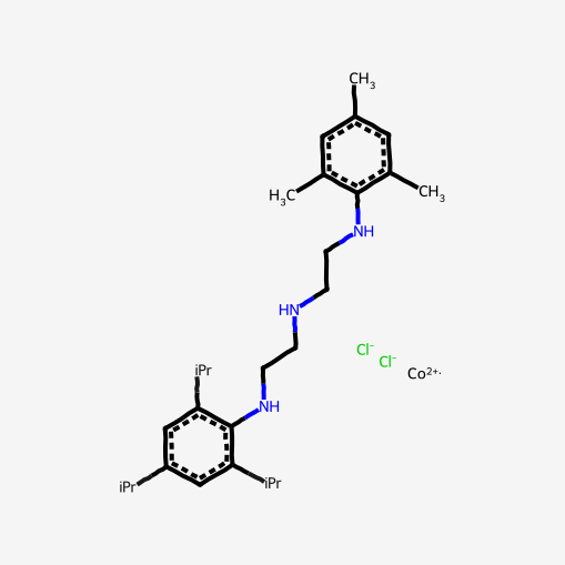 Cc1cc(C)c(NCCNCCNc2c(C(C)C)cc(C(C)C)cc2C(C)C)c(C)c1.[Cl-].[Cl-].[Co+2]